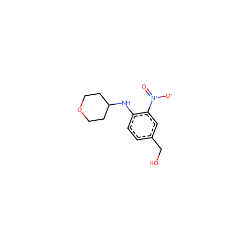 O=[N+]([O-])c1cc(CO)ccc1NC1CCOCC1